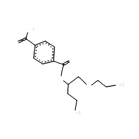 O=C(O)c1ccc(C(=O)OC(CCO)COCCO)cc1